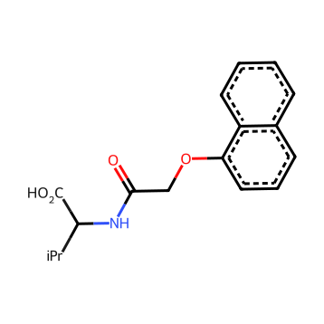 CC(C)C(NC(=O)COc1cccc2ccccc12)C(=O)O